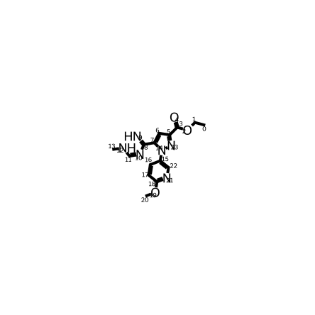 CCOC(=O)c1cc(C(=N)/N=C\NC)n(-c2ccc(OC)nc2)n1